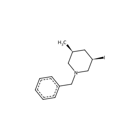 C[C@H]1C[C@@H](I)CN(Cc2ccccc2)C1